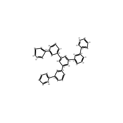 c1ccc(-c2cccc(-c3cc(-c4cccc(-c5cccnc5)c4)cc(-c4cccc(-c5cccnc5)c4)c3)c2)nc1